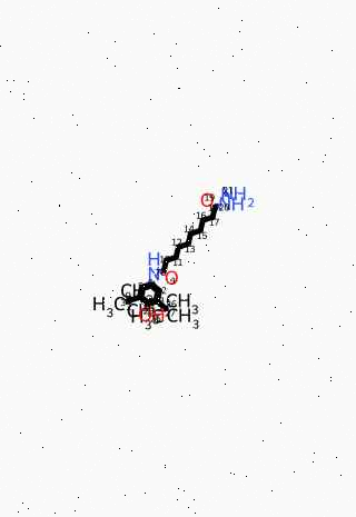 CC(C)(C)c1cc(NC(=O)CCCCCCCCC(=O)NN)cc(C(C)(C)C)c1O